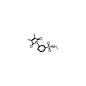 CC1=C(C)C(=O)N(c2cccc(S(N)(=O)=O)c2)C1=O